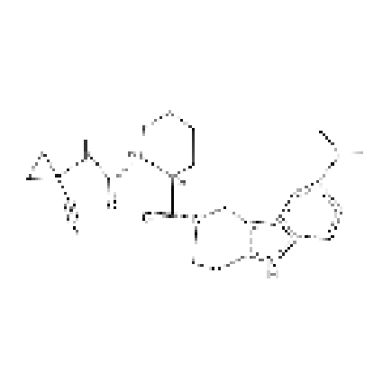 CC(C)c1ccc2[nH]c3c(c2c1)CN(C(=O)[C@@H]1CCCC[C@H]1C(=O)NC1(C#N)CC1)CC3